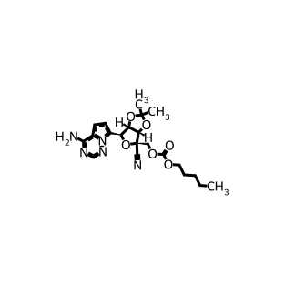 CCCCCOC(=O)OC[C@@]1(C#N)O[C@@H](c2ccc3c(N)ncnn23)[C@@H]2OC(C)(C)O[C@@H]21